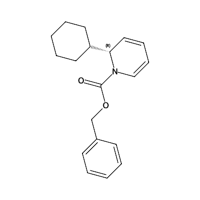 O=C(OCc1ccccc1)N1C=CC=C[C@H]1C1CCCCC1